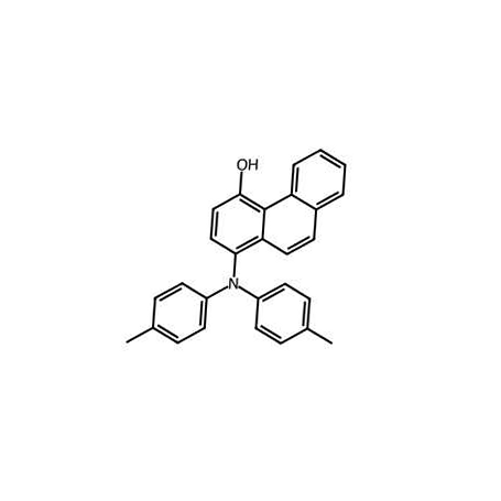 Cc1ccc(N(c2ccc(C)cc2)c2ccc(O)c3c2ccc2ccccc23)cc1